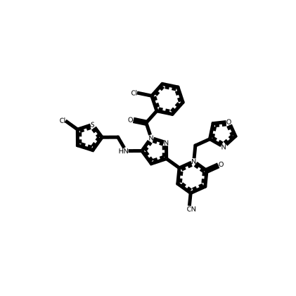 N#Cc1cc(-c2cc(NCc3ccc(Cl)s3)n(C(=O)c3ccccc3Cl)n2)n(Cc2cocn2)c(=O)c1